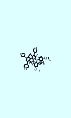 Cc1cc(C)c(B(c2c(C)cc(C)cc2C)c2cc(-c3ccncc3)c3ccc4c(-c5ccncc5)cc(-c5ccncc5)c5ccc2c3c54)c(C)c1